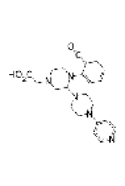 O=C=C1CC=CC=C1N1CCN(CC(=O)O)CC1N1CCN(c2ccncc2)CC1